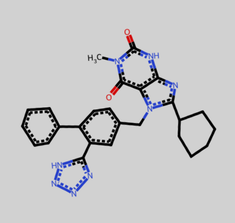 Cn1c(=O)[nH]c2nc(C3CCCCC3)n(Cc3ccc(-c4ccccc4)c(-c4nnn[nH]4)c3)c2c1=O